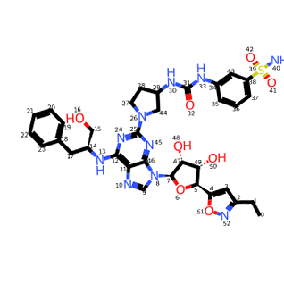 CCc1cc([C@H]2O[C@@H](n3cnc4c(N[C@H](CO)Cc5ccccc5)nc(N5CCC(NC(=O)Nc6cccc(S(N)(=O)=O)c6)C5)nc43)[C@H](O)[C@@H]2O)on1